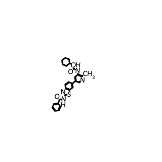 Cc1ncc(-c2ccc3nc(NC(=O)c4ccccc4)sc3c2)cc1NC(=O)OC1CCCCC1